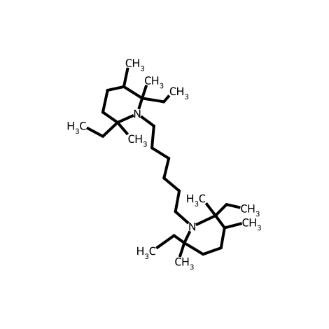 CCC1(C)CCC(C)C(C)(CC)N1CCCCCCN1C(C)(CC)CCC(C)C1(C)CC